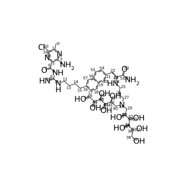 Cc1nc(N)c(C(=O)NC(=N)NCCCCc2ccc3cc(C[C@H](NCCCN(C[C@H](O)[C@@H](O)[C@H](O)[C@H](O)CO)C[C@H](O)[C@@H](O)[C@H](O)[C@H](O)CO)C(N)=O)ccc3c2)nc1Cl